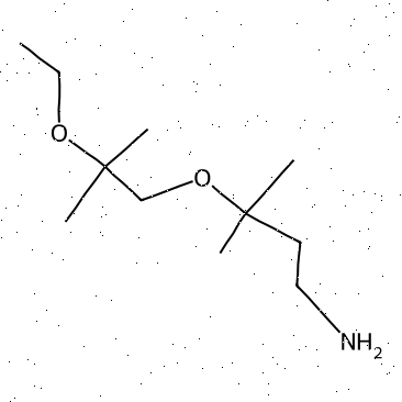 CCOC(C)(C)COC(C)(C)CCN